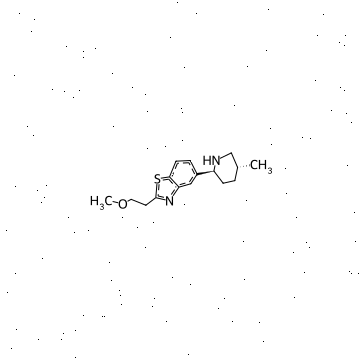 COCCc1nc2cc([C@@H]3CC[C@@H](C)CN3)ccc2s1